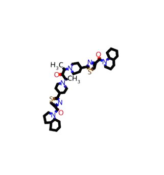 CC(C(=O)C(C)N1CCC(c2nc(C(=O)N3CCCC4CCCCC43)cs2)CC1)N1CCC(c2nc(C(=O)N3CCCC4CCCCC43)cs2)CC1